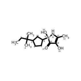 CCC(C)(C)C1CCC([N+]2(O)NC(C)=C(O)C2=O)C1